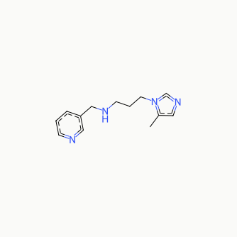 Cc1cncn1CCCNCc1cccnc1